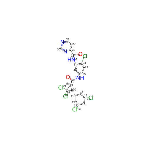 O=C(Nc1cc(NC(=O)[C@H]2[C@H](c3cc(Cl)cc(Cl)c3)C2(Cl)Cl)ccc1Cl)c1ccncn1